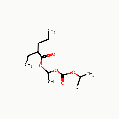 CCCC(CC)C(=O)OC(C)OC(=O)OC(C)C